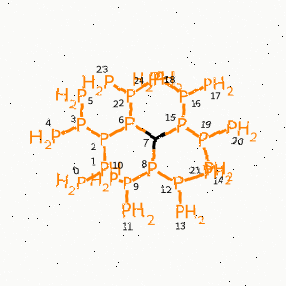 PPP(P(P)P)P(C(P(P(P)P)P(P)P)P(P(P)P)P(P)P)P(P)P